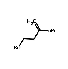 C=C(CCC)CCC(C)(C)C